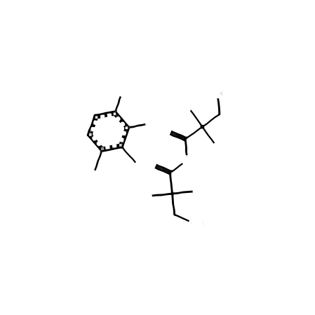 CC(C)(CO)C(=O)OC(=O)C(C)(C)CO.Cc1ccc(O)c(O)c1C